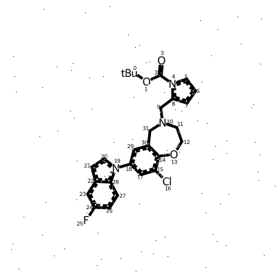 CC(C)(C)OC(=O)n1cccc1CN1CCOc2c(Cl)cc(-n3ccc4cc(F)ccc43)cc2C1